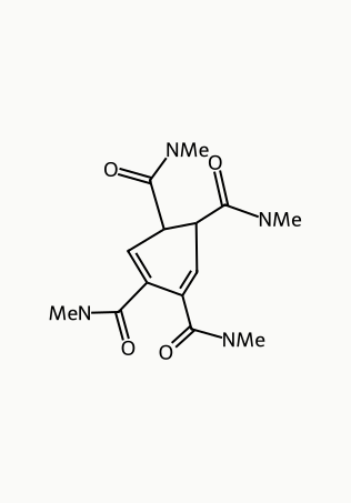 CNC(=O)C1=CC(C(=O)NC)C(C(=O)NC)C=C1C(=O)NC